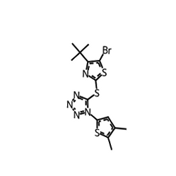 Cc1cc(-n2nnnc2Sc2nc(C(C)(C)C)c(Br)s2)sc1C